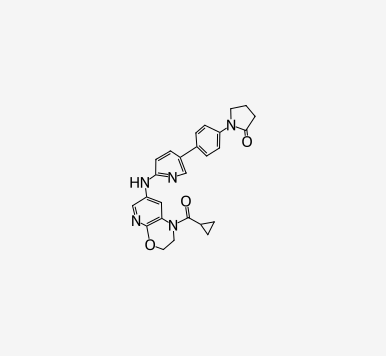 O=C1CCCN1c1ccc(-c2ccc(Nc3cnc4c(c3)N(C(=O)C3CC3)CCO4)nc2)cc1